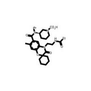 CCC(=O)NCCN1C(=O)C2(CCCCC2)Oc2cc(C)c(C(=O)N(C(C)C)[C@@H]3CCCN(C(=O)O)C3)cc21